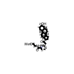 C=NN(CC(=O)[C@H]1CC[C@H]2[C@@H]3CC[C@@H]4C[C@](C)(O)CC[C@]4(C)[C@H]3CC[C@]12C)/N=C(\C)C(=O)NCCOC